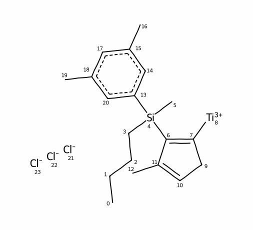 CCCC[Si](C)(C1=[C]([Ti+3])CC=C1C)c1cc(C)cc(C)c1.[Cl-].[Cl-].[Cl-]